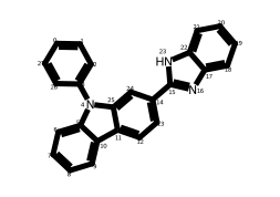 c1ccc(-n2c3ccccc3c3ccc(-c4nc5ccccc5[nH]4)cc32)cc1